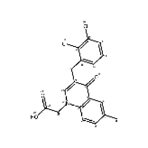 Cc1ccc2c(c1)c(=O)c(Cc1cccc(Cl)c1Cl)cn2CC(=O)O